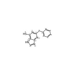 Sc1nc(Cc2ccccc2)nc2nc[nH]c12